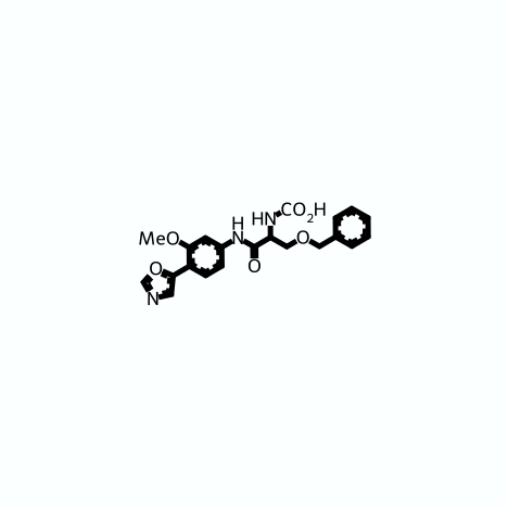 COc1cc(NC(=O)C(COCc2ccccc2)NC(=O)O)ccc1-c1cnco1